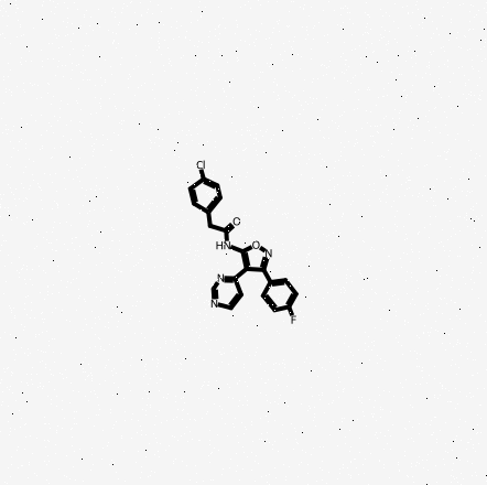 O=C(Cc1ccc(Cl)cc1)Nc1onc(-c2ccc(F)cc2)c1-c1ccncn1